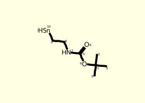 CC(C)(C)OC(=O)NC[CH2][SnH]